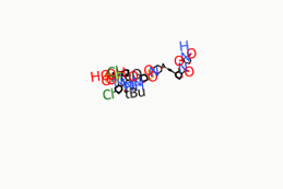 COc1cc(S(=O)(=O)N2CCC3(CC2)C[C@H]3C#Cc2cccc3c2CN([C@H]2CCC(=O)NC2=O)C3=O)ccc1NC(=O)[C@@H]1N[C@@H](CC(C)(C)C)[C@@]2(CN(COP(=O)(O)O)c3cc(Cl)ccc32)[C@H]1c1cccc(Cl)c1F